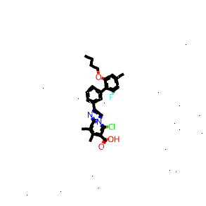 CCCCOc1cc(C)cc(F)c1-c1cccc(-c2cn3c(Cl)c(C(=O)O)c(C)c(C)c3n2)c1